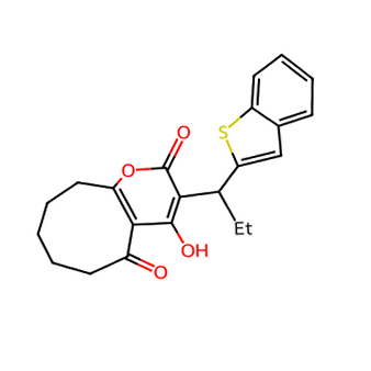 CCC(c1cc2ccccc2s1)c1c(O)c2c(oc1=O)CCCCCC2=O